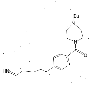 CCC(C)N1CCN(C(=O)c2ccc(CCCCC=N)cc2)CC1